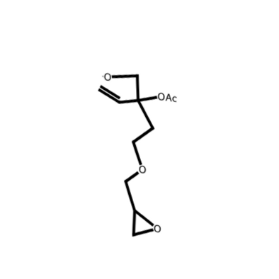 C=CC(C[O])(CCOCC1CO1)OC(C)=O